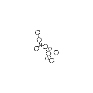 c1ccc(-c2ccc(N(c3ccccc3)c3ccc4oc5c(-c6ccccc6)c6c(cc5c4c3)oc3ccccc36)cc2)cc1